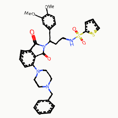 COc1ccc(C(CCNS(=O)(=O)c2cccs2)N2C(=O)c3cccc(N4CCN(Cc5ccccc5)CC4)c3C2=O)cc1OC